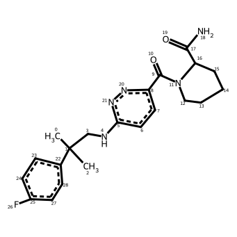 CC(C)(CNc1ccc(C(=O)N2CCCCC2C(N)=O)nn1)c1ccc(F)cc1